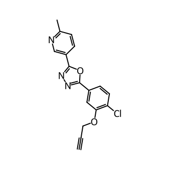 C#CCOc1cc(-c2nnc(-c3ccc(C)nc3)o2)ccc1Cl